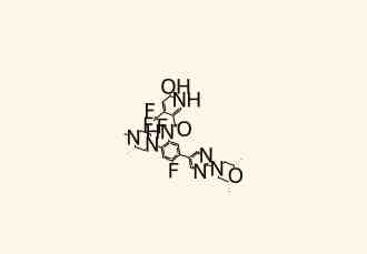 C[C@@H]1CN(c2ncc(-c3cc(NC(=O)C4=CNC(O)C=C4C(F)(F)F)c(N4CCN(C)[C@@H](C)C4)cc3F)cn2)C[C@H](C)O1